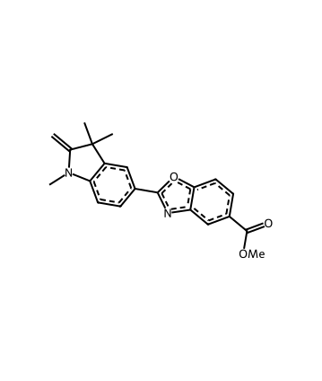 C=C1N(C)c2ccc(-c3nc4cc(C(=O)OC)ccc4o3)cc2C1(C)C